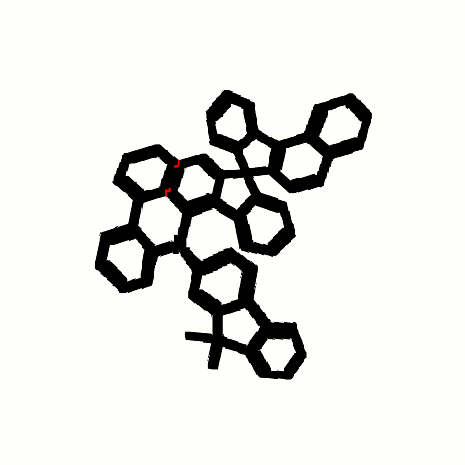 CC1(C)c2ccccc2-c2ccc(N(c3ccccc3-c3ccccc3)c3cccc4c3-c3ccccc3C43c4ccccc4-c4c3ccc3ccccc43)cc21